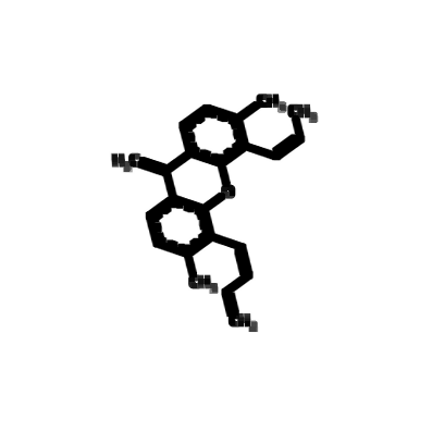 C=C/C=C\c1c(C)ccc2c1Oc1c(ccc(C)c1/C=C\C)C2=C